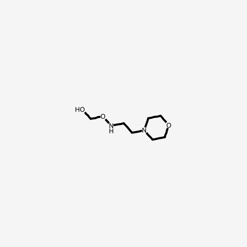 OCONCCN1CCOCC1